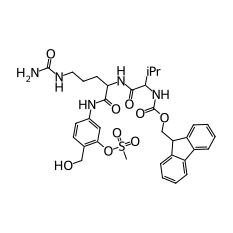 CC(C)C(NC(=O)OCC1c2ccccc2-c2ccccc21)C(=O)NC(CCCNC(N)=O)C(=O)Nc1ccc(CO)c(OS(C)(=O)=O)c1